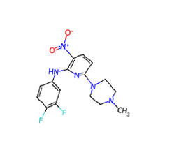 CN1CCN(c2ccc([N+](=O)[O-])c(Nc3ccc(F)c(F)c3)n2)CC1